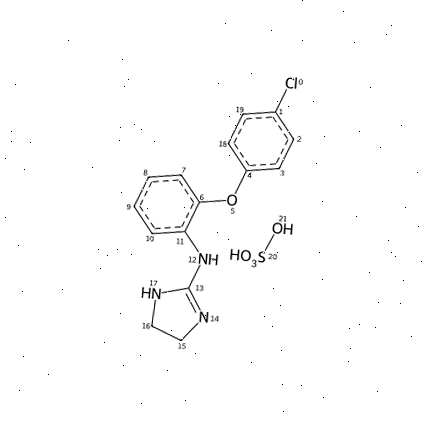 Clc1ccc(Oc2ccccc2NC2=NCCN2)cc1.O=S(=O)(O)O